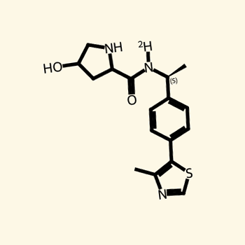 [2H]N(C(=O)C1CC(O)CN1)[C@@H](C)c1ccc(-c2scnc2C)cc1